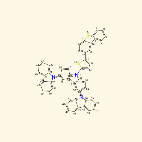 c1ccc2c(c1)sc1ccc(-c3ccc(-n4c5ccc(-n6c7ccccc7c7ccccc76)cc5c5cc(-n6c7ccccc7c7ccccc76)ccc54)s3)cc12